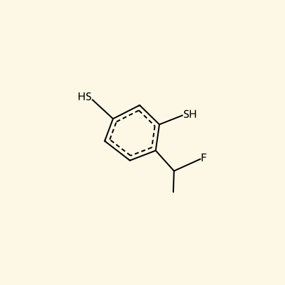 CC(F)c1ccc(S)cc1S